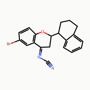 N#C/N=C1\CC(C2CCCc3ccccc32)Oc2ccc(Br)cc21